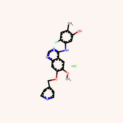 COc1cc2c(Nc3cc(O)c(C)cc3F)ncnc2cc1OCc1ccncc1.Cl